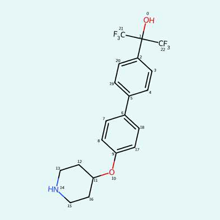 OC(c1ccc(-c2ccc(OC3CCNCC3)cc2)cc1)(C(F)(F)F)C(F)(F)F